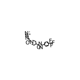 [N-]=[N+]=NCC(=O)N1CCC(c2nc(-c3ccc(C(F)(F)F)cc3)no2)CC1